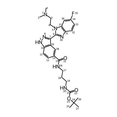 CN(C)CCn1c(-c2n[nH]c3ccc(C(=O)NCCCNC(=O)OC(C)(C)C)cc23)nc2ccc(F)cc21